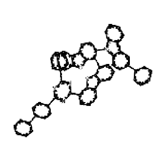 c1ccc(-c2ccc(-c3nc(-c4ccccc4)nc(-c4cccc5c4oc4c(-c6c(-n7c8ccccc8c8cc(-c9ccccc9)ccc87)ccc7c6oc6ccccc67)cccc45)n3)cc2)cc1